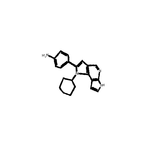 Nc1ccc(-c2cc3cnc4[nH]ccc4c3n2C2CCCCC2)cc1